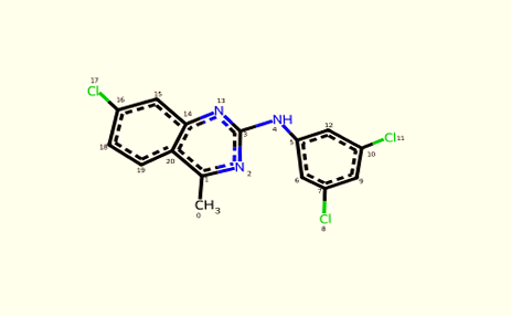 Cc1nc(Nc2cc(Cl)cc(Cl)c2)nc2cc(Cl)ccc12